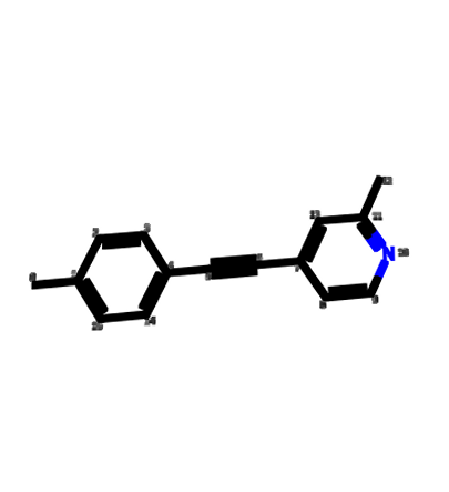 Cc1ccc(C#Cc2ccnc(C)c2)cc1